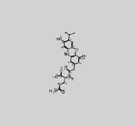 CC(C)c1cc(Oc2c(Br)cc(CC(=O)N(I)C(CCC(N)=O)C(=O)O)cc2Br)ccc1O